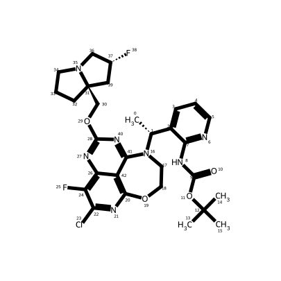 C[C@H](c1cccnc1NC(=O)OC(C)(C)C)N1CCOc2nc(Cl)c(F)c3nc(OC[C@@]45CCCN4C[C@H](F)C5)nc1c23